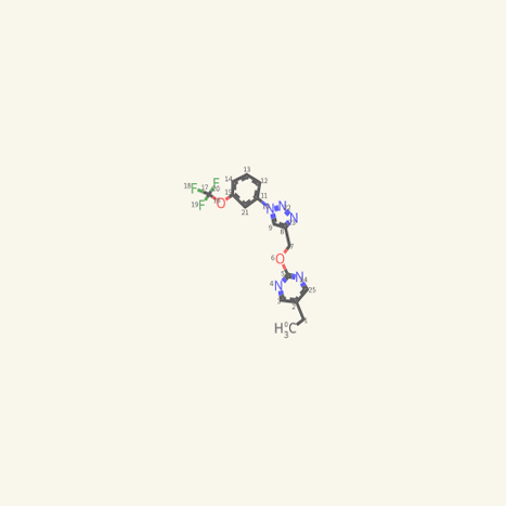 CCc1cnc(OCc2cn(-c3cccc(OC(F)(F)F)c3)nn2)nc1